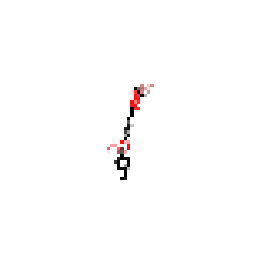 C=Cc1ccc(C(=O)OCCCCCCCOOC(C)(C)Br)cc1